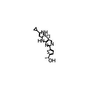 C[C@H](O)c1ccc(-c2ncc(Cl)c(Nc3cc(C4CC4)[nH]n3)n2)s1